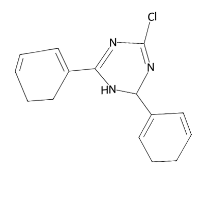 ClC1=NC(C2=CCCC=C2)NC(C2=CC=CCC2)=N1